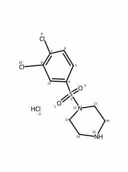 Cl.O=S(=O)(c1ccc(Cl)c(Cl)c1)N1CCNCC1